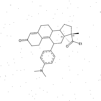 CCC(=O)[C@@]1(C)CCC2C3CCC4=CC(=O)CCC4=C3C(c3ccc(N(C)C)cc3)C[C@@]21C